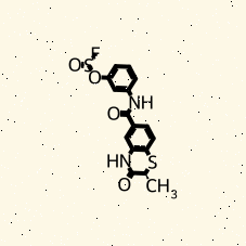 C[C@H]1Sc2ccc(C(=O)Nc3cccc(OS(=O)F)c3)cc2NC1=O